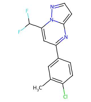 Cc1cc(-c2cc(C(F)F)n3nccc3n2)ccc1Cl